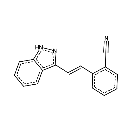 N#Cc1ccccc1C=Cc1n[nH]c2ccccc12